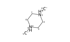 [CH2-][NH+]1CC[NH+]([CH2-])CC1